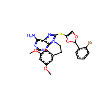 COc1cc(CCn2c(SC3=COC(c4ccccc4Br)O3)nc3c(N)ncnc32)cc(OC)c1